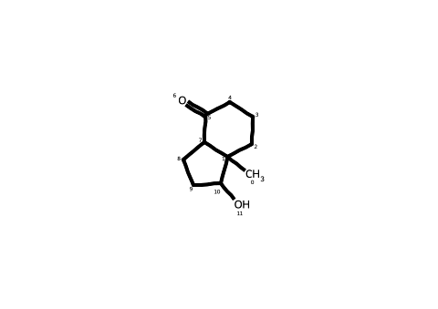 CC12CCCC(=O)C1CCC2O